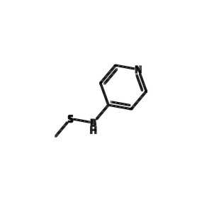 CSBc1ccncc1